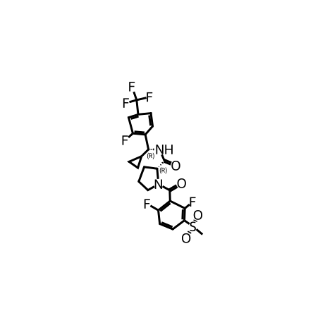 CS(=O)(=O)c1ccc(F)c(C(=O)N2CCC[C@@H]2C(=O)N[C@@H](c2ccc(C(F)(F)F)cc2F)C2CC2)c1F